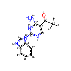 CC(C)(C)C(=O)c1cnc(-n2cnc3ccccc32)nc1N